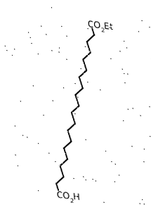 CCOC(=O)CCCCCCCCCCCCCCCCCCC(=O)O